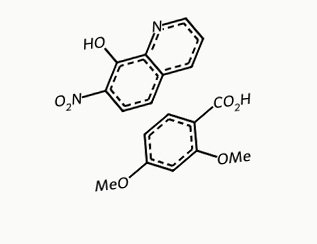 COc1ccc(C(=O)O)c(OC)c1.O=[N+]([O-])c1ccc2cccnc2c1O